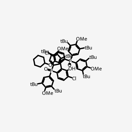 COc1c(C(C)(C)C)cc(P(=O)(c2cc(C(C)(C)C)c(OC)c(C(C)(C)C)c2)c2ccc(Cl)c(O)c2-c2c(P(=O)(c3cc(C(C)(C)C)c(OC)c(C(C)(C)C)c3)c3cc(C(C)(C)C)c(OC)c(C(C)(C)C)c3)ccc(Cl)c2OC2CCCCC2)cc1C(C)(C)C